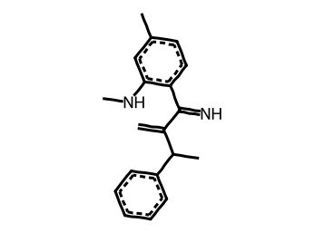 C=C(C(=N)c1ccc(C)cc1NC)C(C)c1ccccc1